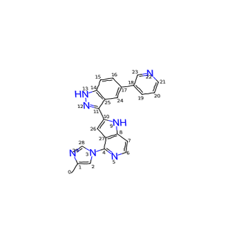 Cc1cn(-c2nccc3[nH]c(-c4n[nH]c5ccc(-c6cccnc6)cc45)cc23)cn1